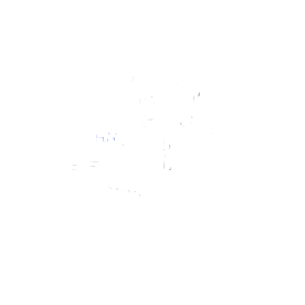 C=C1CCCC(=C(C)C)C(=C(C)C)N1